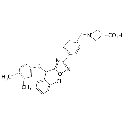 Cc1ccc(OC(c2nc(-c3ccc(CN4CC(C(=O)O)C4)cc3)no2)c2ccccc2Cl)cc1C